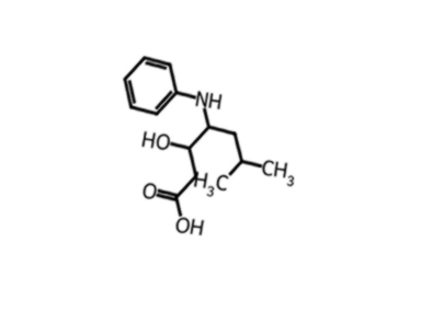 CC(C)CC(Nc1ccccc1)C(O)CC(=O)O